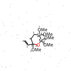 C=CC1(OC)CC[Si](OC)(OC)[Si](OC)(OC)O1